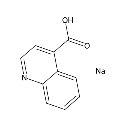 O=C(O)c1ccnc2ccccc12.[Na]